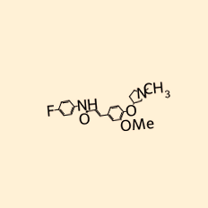 COc1cc(/C=C/C(=O)Nc2ccc(F)cc2)ccc1OC1CCN(C)C1